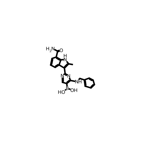 Cc1[nH]c2c(C(N)=O)cccc2c1-c1ncc(B(O)O)c(NCc2ccccc2)n1